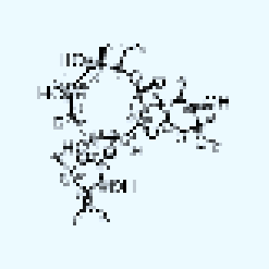 C=C1[C@@H](CC)OC(=O)[C@H](C)[C@@H](OC2C[C@@](C)(OC)[C@@H](O)[C@H](C)O2)[C@H](C)[C@@H](OC2O[C@H](C)C[C@H](N(C)C)[C@H]2O)[C@@](C)(O)C[C@@H](C)[C@H](O)[C@H](C)[C@H]1O